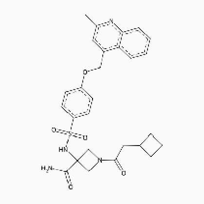 Cc1cc(COc2ccc(S(=O)(=O)NC3(C(N)=O)CN(C(=O)CC4CCC4)C3)cc2)c2ccccc2n1